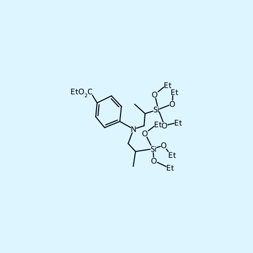 CCOC(=O)c1ccc(N(CC(C)[Si](OCC)(OCC)OCC)CC(C)[Si](OCC)(OCC)OCC)cc1